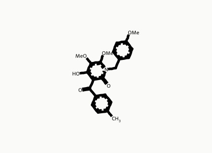 COc1ccc(Cn2c(OC)c(OC)c(O)c(C(=O)c3ccc(C)cc3)c2=O)cc1